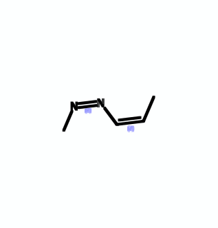 C/C=C\N=N/C